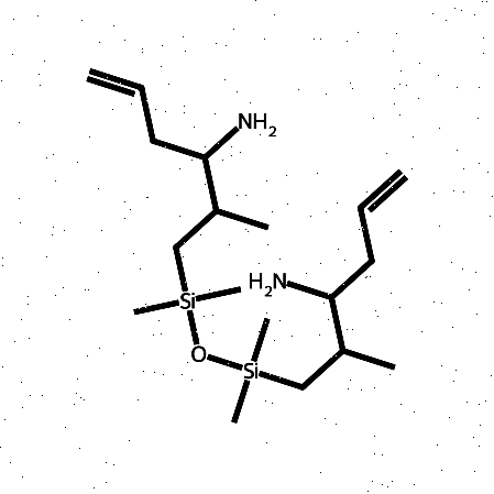 C=CCC(N)C(C)C[Si](C)(C)O[Si](C)(C)CC(C)C(N)CC=C